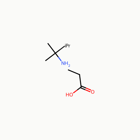 CC(C)C(C)(C)N.CCC(=O)O